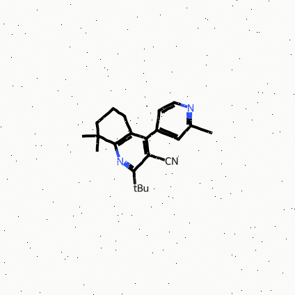 Cc1cc(-c2c(C#N)c(C(C)(C)C)nc3c2CCCC3(C)C)ccn1